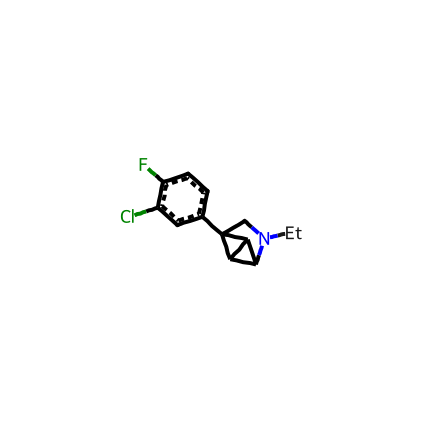 CCN1CC2(c3ccc(F)c(Cl)c3)C3C1C32